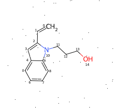 C=Cc1cc2ccccc2n1CCCO